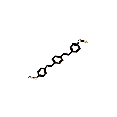 CCC(C)Oc1ccc(/C=C/c2ccc(/C=C/c3ccc(OC(C)CC)cc3)cc2)cc1